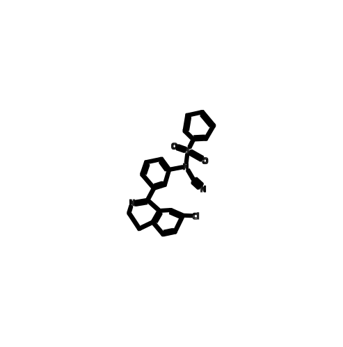 N#CN(c1cccc(C2=NCCc3ccc(Cl)cc32)c1)S(=O)(=O)c1ccccc1